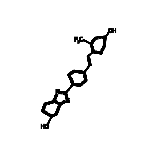 Oc1ccc(/C=C/c2ccc(-c3nc4ccc(O)cc4s3)cc2)c(C(F)(F)F)c1